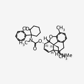 CNCC[C@]12c3c4ccc(C)c3O[C@H]1[C@@H](OC(=O)N(C)C1(c3ccccc3Cl)CCCCC1=O)C=C[C@H]2[C@H](C)C4